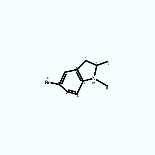 CC1Cc2cc(Br)ccc2N1C